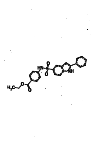 CCOC(=O)c1ccc(NS(=O)(=O)c2ccc3[nH]c(-c4ccccc4)cc3c2)cc1